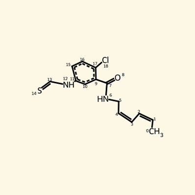 C/C=C\C=C/CNC(=O)c1cc(NC=S)ccc1Cl